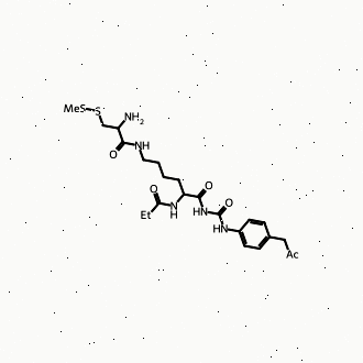 CCC(=O)NC(CCCCNC(=O)C(N)CSSC)C(=O)NC(=O)Nc1ccc(CC(C)=O)cc1